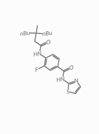 CCCCC(C)(CCCC)CC(=O)Nc1ccc(C(=O)Nc2nccs2)cc1F